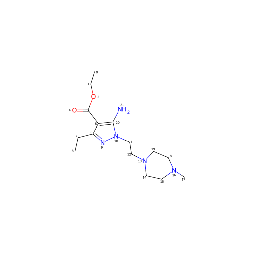 CCOC(=O)c1c(CC)nn(CCN2CCN(C)CC2)c1N